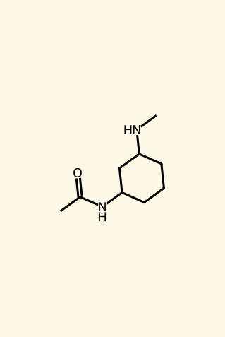 CNC1CCCC(NC(C)=O)C1